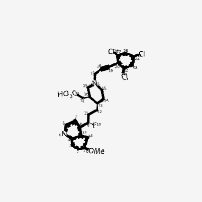 COc1ccc2nccc([C@@H](F)CC[C@@H]3CCN(CC#Cc4c(Cl)cc(Cl)cc4Cl)C[C@@H]3CC(=O)O)c2c1